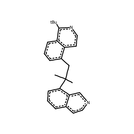 CC(C)(C)c1nccc2c(CC(C)(C)c3cccc4ccncc34)cccc12